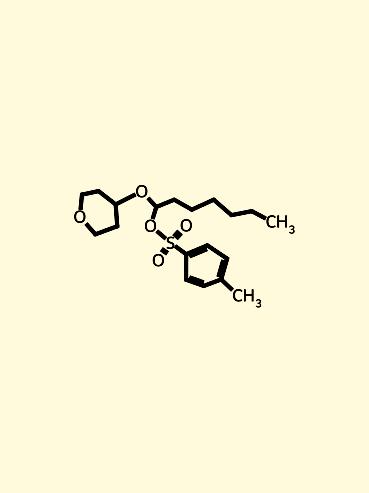 CCCCCCC(OC1CCOCC1)OS(=O)(=O)c1ccc(C)cc1